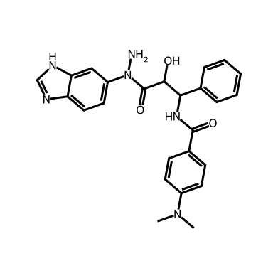 CN(C)c1ccc(C(=O)NC(c2ccccc2)C(O)C(=O)N(N)c2ccc3nc[nH]c3c2)cc1